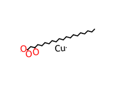 CCCCCCCCCCCCCCCCCC(=O)CC(=O)OC.[Cu]